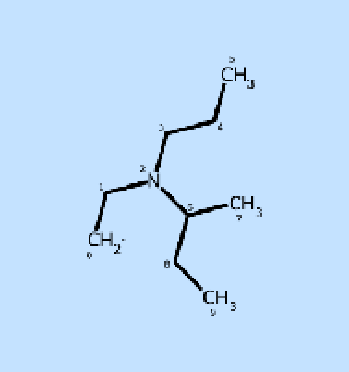 [CH2]CN(CCC)C(C)CC